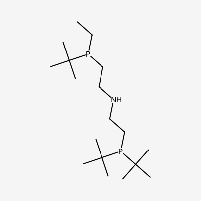 CCP(CCNCCP(C(C)(C)C)C(C)(C)C)C(C)(C)C